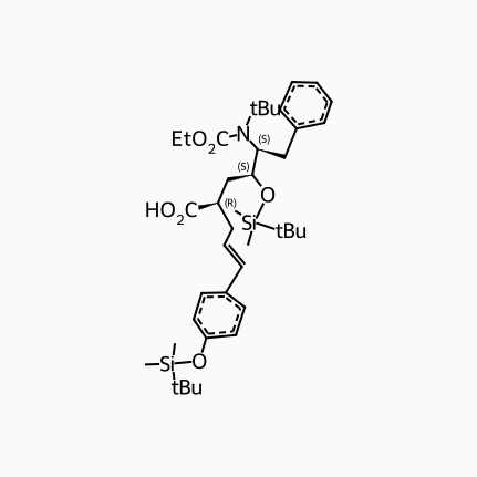 CCOC(=O)N([C@@H](Cc1ccccc1)[C@H](C[C@@H](CC=Cc1ccc(O[Si](C)(C)C(C)(C)C)cc1)C(=O)O)O[Si](C)(C)C(C)(C)C)C(C)(C)C